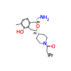 Cc1ccc2c(c1O)C[C@@H](C1CCN(C(=O)CC(C)C)CC1)O[C@H]2CN